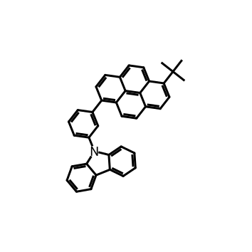 CC(C)(C)c1ccc2ccc3c(-c4cccc(-n5c6ccccc6c6ccccc65)c4)ccc4ccc1c2c43